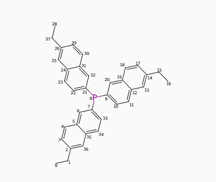 CCc1ccc2cc(P(c3ccc4cc(CC)ccc4c3)c3ccc4cc(CC)ccc4c3)ccc2c1